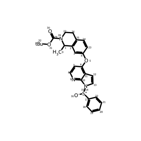 CC1c2cc(Oc3ccnc4c3ccn4[S+]([O-])c3ccccc3)ccc2CCN1C(=O)OC(C)(C)C